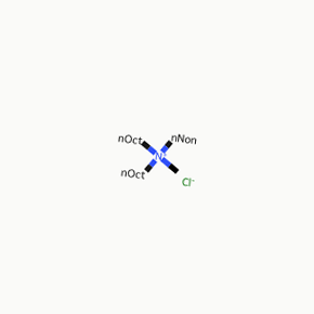 CCCCCCCCC[N+](C)(CCCCCCCC)CCCCCCCC.[Cl-]